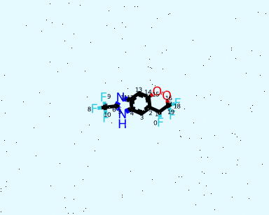 FC1c2cc3[nH]c(C(F)(F)F)nc3cc2OOC1(F)F